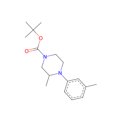 Cc1cccc(N2CCN(C(=O)OC(C)(C)C)CC2C)c1